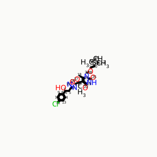 CC1(c2nc(C[C@H](O)c3ccc(Cl)cc3)no2)OCc2c1c(=O)[nH]c(=O)n2COCC[Si](C)(C)C